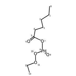 CCCCCC(=O)O[PH](=O)OOCC